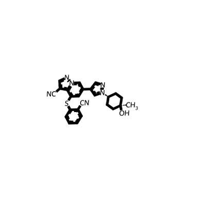 C[C@]1(O)CC[C@H](n2cc(-c3cc(Sc4ccccc4C#N)c4c(C#N)cnn4c3)cn2)CC1